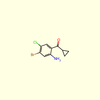 Nc1cc(Br)c(Cl)cc1C(=O)C1CC1